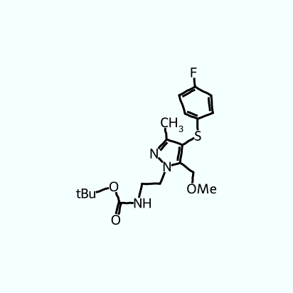 COCc1c(Sc2ccc(F)cc2)c(C)nn1CCNC(=O)OC(C)(C)C